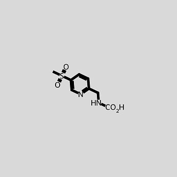 CS(=O)(=O)c1ccc(CNC(=O)O)nc1